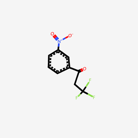 O=C(CC(F)(F)F)c1cccc([N+](=O)[O-])c1